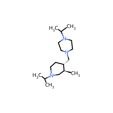 CC(C)N1CCN(C[C@H]2CCN(C(C)C)C[C@@H]2C)CC1